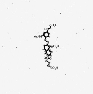 CC(=O)Nc1cc(NCS(=O)(=O)O)ccc1/N=N/c1ccc2cc(S(=O)(=O)CCOS(=O)(=O)O)ccc2c1S(=O)(=O)O